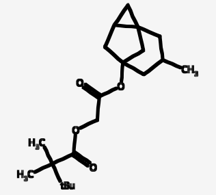 CC1CC2(OC(=O)COC(=O)C(C)(C)C(C)(C)C)CC3CC3(C1)C2